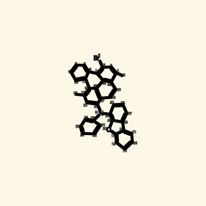 Cc1cc(Br)c2c3ccccc3c3c(C)cc(N(c4ccccc4)c4cccc5c4oc4ccccc45)c4ccc1c2c43